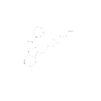 COc1ccc2c(c1)=C(CCNS(=O)(=O)CCCO)C(C)(C(=O)c1ccc(Cl)cc1)N=2